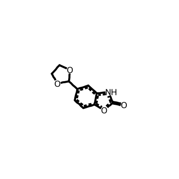 O=c1[nH]c2cc(C3OCCO3)ccc2o1